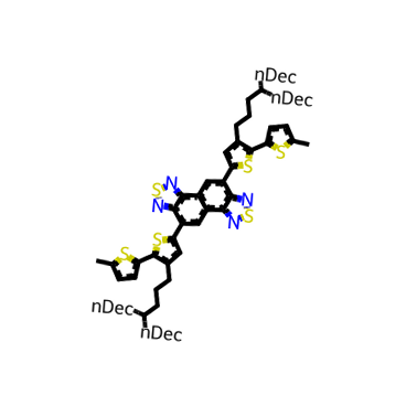 CCCCCCCCCCC(CCCCCCCCCC)CCCc1cc(-c2cc3c(cc(-c4cc(CCCC(CCCCCCCCCC)CCCCCCCCCC)c(-c5ccc(C)s5)s4)c4nsnc43)c3nsnc23)sc1-c1ccc(C)s1